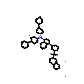 CC(C)(c1cccc(-c2ccc(N(c3ccc(-c4ccccc4)cc3)c3ccc(-c4ccccc4)cc3)c3ccccc23)c1)c1ccc2ccccc2c1